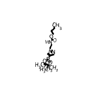 CCCCOC(=O)NCCn1cc(B2OC(C)(C)C(C)(C)O2)cn1